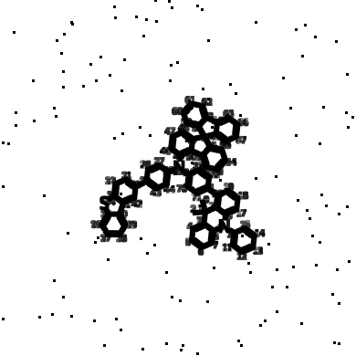 CC1(C)c2ccccc2N(c2ccccc2)c2cccc(-c3ccc(N(c4ccc(-c5ccc6sc7ccccc7c6c5)cc4)c4cccc5c4-c4ccccc4C54c5ccccc5-c5ccccc54)cc3)c21